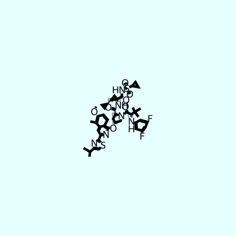 COc1ccc2c(O[C@@H]3C[C@@H](C(=O)N[C@]4(C(=O)NS(=O)(=O)C5CC5)C[C@H]4C4CC4)N(C(=O)[C@@H](Nc4cc(F)cc(F)c4)C(C)(C)C)C3)nc(-c3nc(C(C)C)cs3)cc2c1C